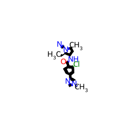 CC[C@@H]1[C@H](NC(=O)c2ccc(-c3cn(C)cn3)cc2Cl)C[C@H](C)N1C#N